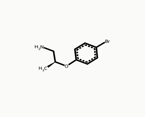 C[C@@H](CN)Oc1ccc(Br)cc1